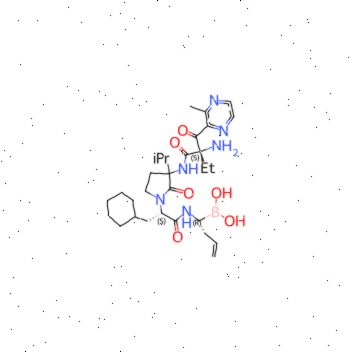 C=CC[C@H](NC(=O)[C@H](CC1CCCCC1)N1CCC(NC(=O)[C@](N)(CC)C(=O)c2nccnc2C)(C(C)C)C1=O)B(O)O